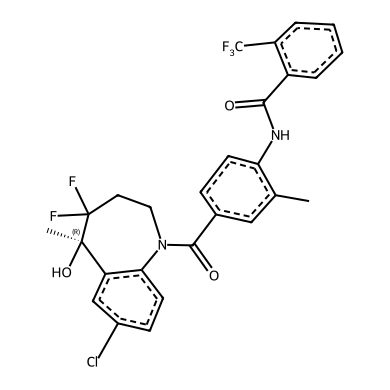 Cc1cc(C(=O)N2CCC(F)(F)[C@](C)(O)c3cc(Cl)ccc32)ccc1NC(=O)c1ccccc1C(F)(F)F